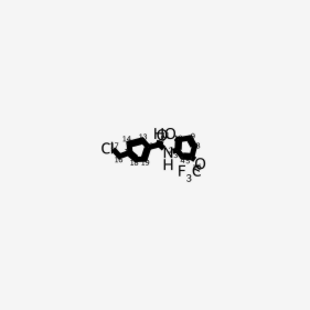 O=C(Nc1cc(OC(F)(F)F)ccc1O)c1ccc(CCl)cc1